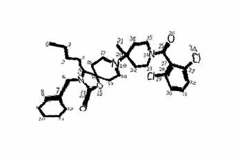 CCCCC1N(CC2CCCCC2)C(=O)OC12CCN(C1(C)CCN(C(=O)c3c(Cl)cccc3Cl)CC1)CC2